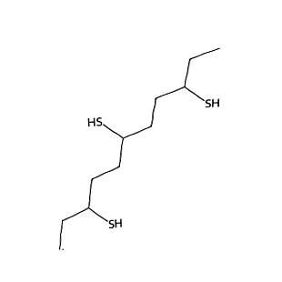 [CH2]CC(S)CCC(S)CCC(S)CC